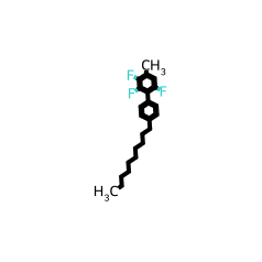 CCCCCCCCCCc1ccc(-c2c(F)cc(C)c(F)c2F)cc1